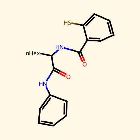 CCCCCCC(NC(=O)c1ccccc1S)C(=O)Nc1ccccc1